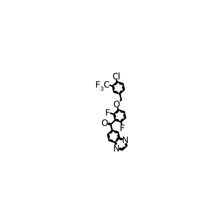 O=C(c1ccc2nccnc2c1)c1c(F)ccc(OCc2ccc(Cl)c(C(F)(F)F)c2)c1F